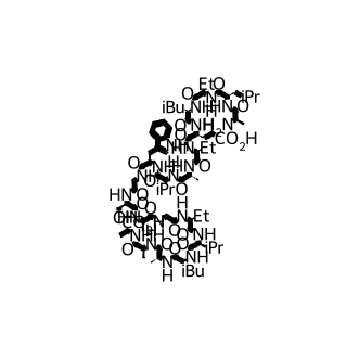 CC[C@@H](NC(=O)CNC(=O)[C@@H](C)NC(=O)[C@@H](CO)NC(=O)CNC(=O)[C@@H](Cc1c[nH]c2ccccc12)NC(=O)[C@@H](NC(=O)[C@@H](C)NC(=O)[C@@H](CC)NC(=O)[C@@H](CCC(=O)O)NC(=O)[C@@H](NC(=O)[C@@H](CC)NC(=O)[C@H](CC(C)C)NC(=O)[C@@H](C)N)[C@@H](C)CC)C(C)C)C(=O)N[C@H](C(=O)N[C@H](C(=O)N[C@H](C)C(=O)N[C@@H](C)C(=O)N[C@H](C)C(=O)O)[C@@H](C)CC)C(C)C